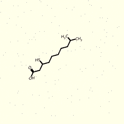 CC(C)CCCCCC(S)CC(=O)O